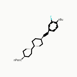 CCCCC[C@H]1CC[C@H]([C@H]2CC[C@H](C#Cc3ccc(CCCC)c(F)c3)CC2)CC1